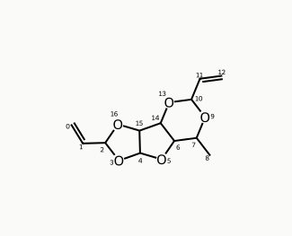 C=CC1OC2OC3C(C)OC(C=C)OC3C2O1